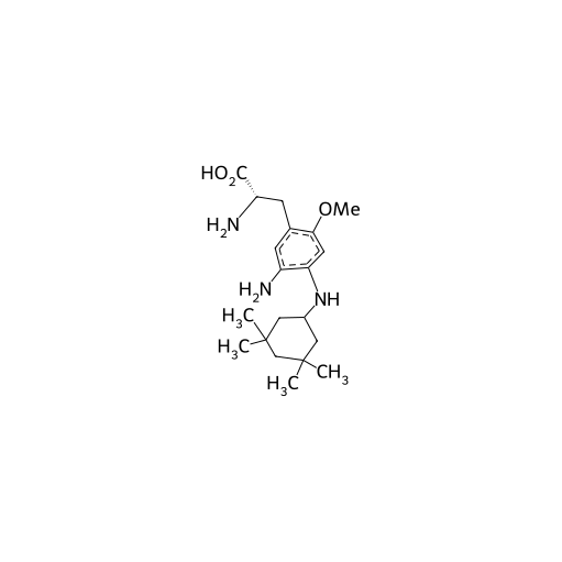 COc1cc(NC2CC(C)(C)CC(C)(C)C2)c(N)cc1C[C@H](N)C(=O)O